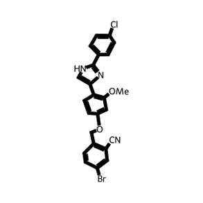 COc1cc(OCc2ccc(Br)cc2C#N)ccc1-c1c[nH]c(-c2ccc(Cl)cc2)n1